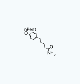 CCCCCOc1ccc(CCCCC(N)=O)cc1